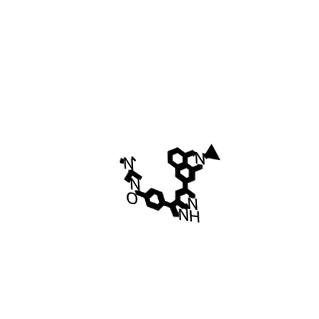 CN(C)C1CN(C(=O)c2ccc(-c3c[nH]c4ncc(-c5cc6c7c(c5)CN(C5CC5)CC7CCC6)cc34)cc2)C1